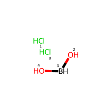 Cl.Cl.OBO